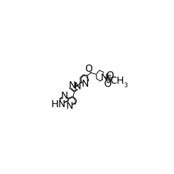 CS(=O)(=O)N1CCC(C(=O)c2ccc(-n3cc(-c4ccnc5[nH]cnc45)cn3)nc2)CC1